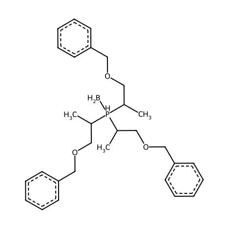 B[PH](C(C)COCc1ccccc1)(C(C)COCc1ccccc1)C(C)COCc1ccccc1